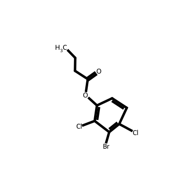 CCCC(=O)Oc1ccc(Cl)c(Br)c1Cl